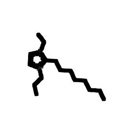 CCCCCCCCc1n(CC)cc[n+]1CCC